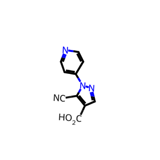 N#Cc1c(C(=O)O)cnn1-c1ccncc1